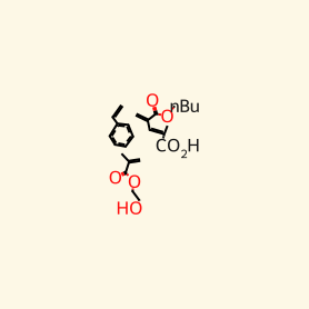 C=C(C)C(=O)OCCO.C=C(C=C(C)C(=O)O)C(=O)OCCCC.C=Cc1ccccc1